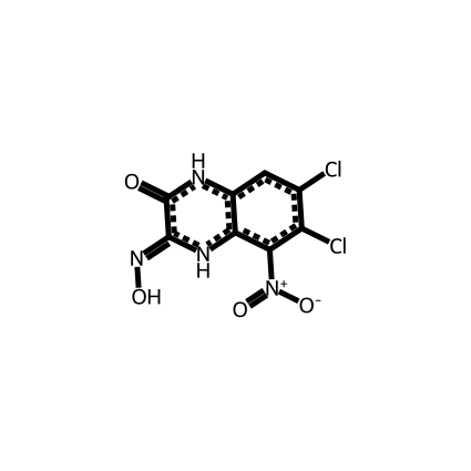 O=c1[nH]c2cc(Cl)c(Cl)c([N+](=O)[O-])c2[nH]/c1=N\O